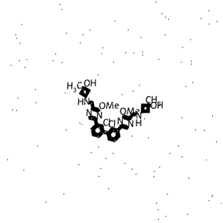 COc1nc(-c2cccc(-c3cccc(-c4cnc(CN[C@H]5C[C@@](C)(O)C5)c(OC)n4)c3Cl)c2Cl)cnc1CN[C@H]1C[C@@](C)(O)C1